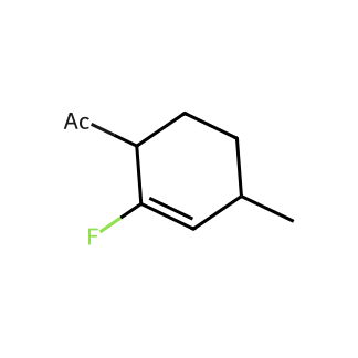 CC(=O)C1CCC(C)C=C1F